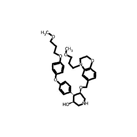 COCCCOc1ccc(Oc2ccc([C@H]3[C@H](O)CNC[C@@H]3OCc3ccc4c(c3)N(CCCOC)CCO4)cc2)cc1